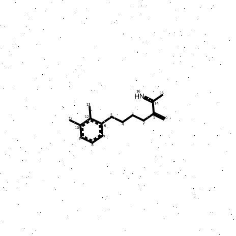 C=C(CCCCc1cccc(C)c1C)C(C)=N